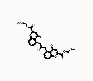 CC(=O)OCOC(=O)c1cc(=O)c2c(CC(O)Cc3cccc4oc(C(=O)OCOC(C)=O)cc(=O)c34)cccc2o1